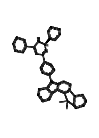 CC1(C)c2ccccc2-c2ccc3c(c21)c1ccccc1n3-c1ccc(C2=N[C@H](c3ccccc3)NC(c3ccccc3)=C2)cc1